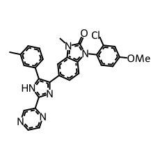 COc1ccc(-n2c(=O)n(C)c3cc(-c4nc(-c5cnccn5)[nH]c4-c4cccc(C)c4)ccc32)c(Cl)c1